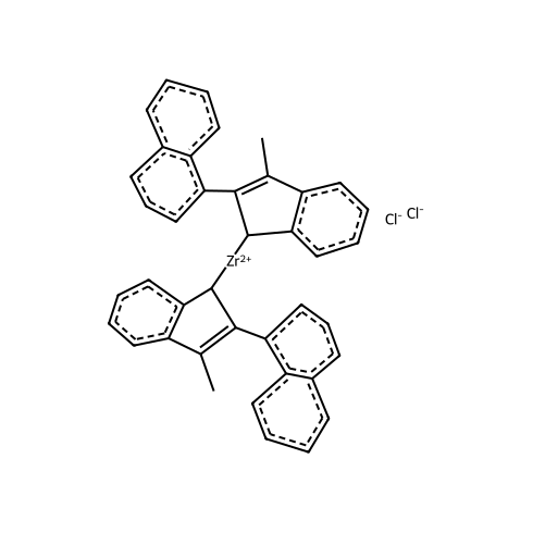 CC1=C(c2cccc3ccccc23)[CH]([Zr+2][CH]2C(c3cccc4ccccc34)=C(C)c3ccccc32)c2ccccc21.[Cl-].[Cl-]